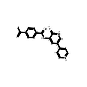 C=C(C)c1ccc(C(=O)Nc2cc(-c3ccncc3)c[nH]c2=O)cc1